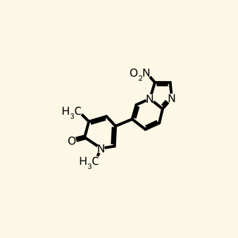 Cc1cc(-c2ccc3ncc([N+](=O)[O-])n3c2)cn(C)c1=O